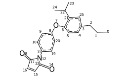 CCCc1ccc(Oc2ccc(N3C(=O)C=CC3=O)cc2)c(C(C)C)c1